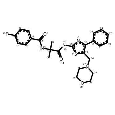 CC(C)(NC(=O)c1ccc(F)cc1)C(=O)Nc1nc(-c2ccccc2)c(CN2CCOCC2)s1